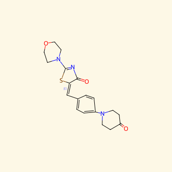 O=C1CCN(c2ccc(/C=C3/SC(N4CCOCC4)=NC3=O)cc2)CC1